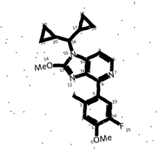 COc1cc(C)c(-c2nccc3c2nc(OC)n3C(C2CC2)C2CC2)cc1F